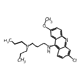 CCCN(CCC)CCCNc1c2ccc(Cl)cc2nc2ccc(OC)cc12